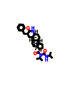 CC(C)NC(=O)N(C(=O)[C@H]1CC[C@H]2[C@@H]3CC[C@H]4NC(=O)C(Cc5ccccc5)C[C@]4(C)[C@H]3CC[C@]12C)C(C)C